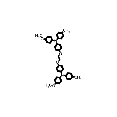 COc1ccc(N(c2ccc(C)cc2)c2ccc(OCCOc3ccc(N(c4ccc(C)cc4)c4ccc(OC)cc4)cc3)cc2)cc1